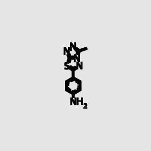 Cc1nnc2sc(-c3ccc(N)cc3)nn12